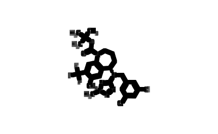 Cc1cc2c(cc1C(F)(F)F)N(C(=O)OC(C)(C)C)CCC[C@@H]2N(Cc1cc(Cl)cc(Cl)c1)c1nnn(C)n1